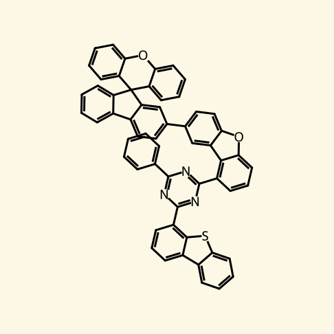 c1ccc(-c2nc(-c3cccc4c3sc3ccccc34)nc(-c3cccc4oc5ccc(-c6ccc7c(c6)C6(c8ccccc8Oc8ccccc86)c6ccccc6-7)cc5c34)n2)cc1